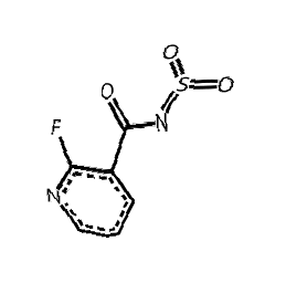 O=C(N=S(=O)=O)c1cccnc1F